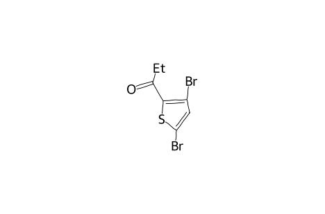 CCC(=O)c1sc(Br)cc1Br